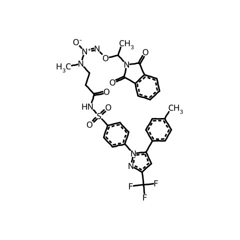 Cc1ccc(-c2cc(C(F)(F)F)nn2-c2ccc(S(=O)(=O)NC(=O)CCN(C)/[N+]([O-])=N\OC(C)N3C(=O)c4ccccc4C3=O)cc2)cc1